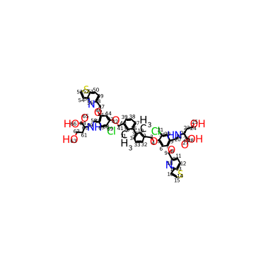 Cc1c(COc2cc(OCc3ccc4sccc4n3)c(CNC(CCO)C(=O)O)cc2Cl)cccc1-c1cccc(COc2cc(OCc3ccc4sccc4n3)c(CNC(CCO)C(=O)O)cc2Cl)c1C